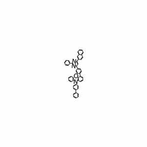 c1ccc(-c2ccc(N(c3ccccc3)c3cccc4c3oc3cc(-c5cc(-c6ccc7ccccc7c6)nc(-c6ccccc6)n5)ccc34)cc2)cc1